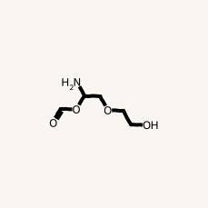 NC(COCCO)OC=O